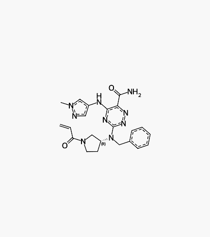 C=CC(=O)N1CC[C@@H](N(Cc2ccccc2)c2nnc(C(N)=O)c(Nc3cnn(C)c3)n2)C1